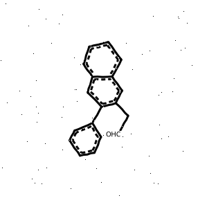 O=CCc1cc2ccccc2cc1-c1ccccc1